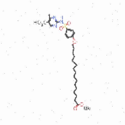 Cc1nc(NS(=O)(=O)c2ccc(OCCCCCCCCCCCCCCCC(=O)OC(C)(C)C)cc2)ncc1C(=O)O